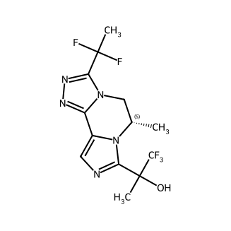 C[C@H]1Cn2c(nnc2C(C)(F)F)-c2cnc(C(C)(O)C(F)(F)F)n21